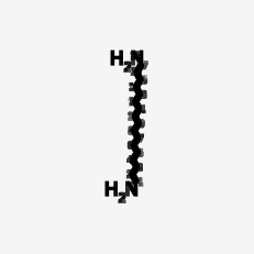 NCCCCCCCCCCCCCCCCCN